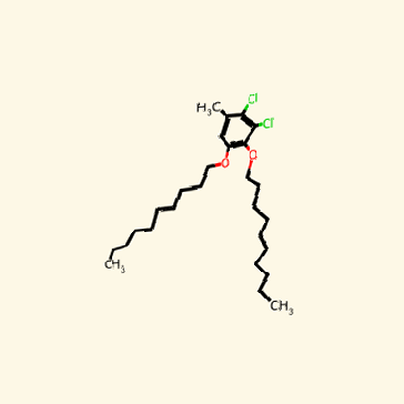 CCCCCCCCCCOc1cc(C)c(Cl)c(Cl)c1OCCCCCCCCCC